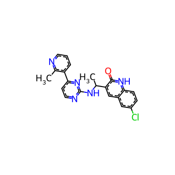 Cc1ncccc1-c1ccnc(NC(C)c2cc3cc(Cl)ccc3[nH]c2=O)n1